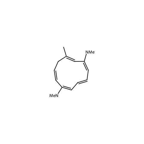 CNC1=C/C=C/C=C(NC)\C=C(/C)C/C=C\1